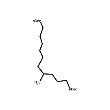 CCCCCCCCCCCCCCCCC(C)CCCCCCCCCCCCC